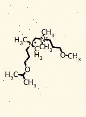 COCCC[N+](C)(C)C[N+](C)(C)CCCOC(C)C